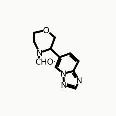 O=[C]N1CCOCC1c1ccc2ncnn2c1